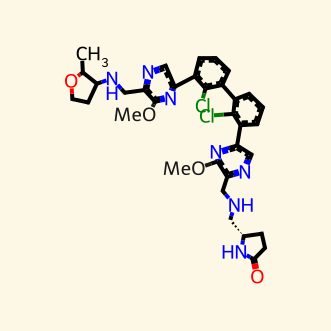 COc1nc(-c2cccc(-c3cccc(-c4cnc(CNC5CCOC5C)c(OC)n4)c3Cl)c2Cl)cnc1CNC[C@@H]1CCC(=O)N1